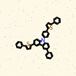 c1ccc(-c2ccc3c(c2)c2cc(-c4ccc(-c5ccccc5)s4)ccc2n3-c2ccc(-c3ccc(-c4ccccc4)s3)cc2)cc1